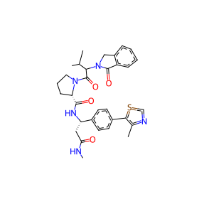 CNC(=O)C[C@H](NC(=O)[C@@H]1CCCN1C(=O)C(C(C)C)N1Cc2ccccc2C1=O)c1ccc(-c2scnc2C)cc1